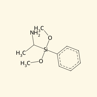 CO[Si](OC)(c1ccccc1)C(C)N